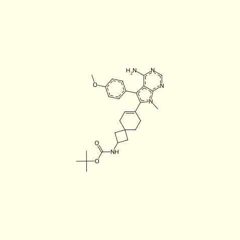 COc1ccc(-c2c(C3=CCC4(CC3)CC(NC(=O)OC(C)(C)C)C4)n(C)c3ncnc(N)c23)cc1